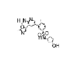 Cc1ncc(-c2cc(-c3cc(S(=O)(=O)NC4CC[C@H](O)C4)ccc3C)cnc2N)o1